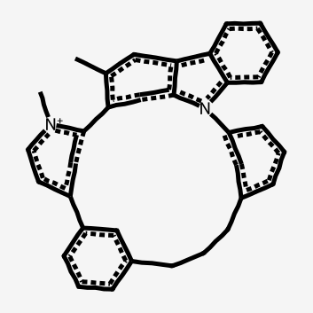 Cc1cc2c3ccccc3n3c2cc1-c1cc(cc[n+]1C)-c1cccc(c1)CCCc1cccc-3c1